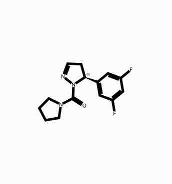 O=C(N1CCCC1)N1N=CC[C@H]1c1cc(F)cc(F)c1